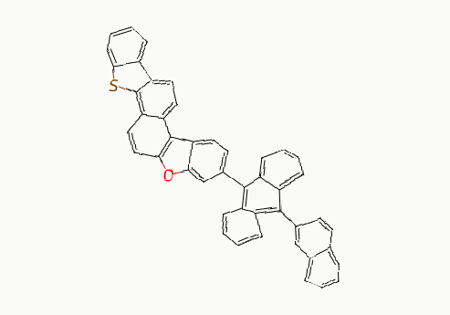 c1ccc2cc(-c3c4ccccc4c(-c4ccc5c(c4)oc4ccc6c(ccc7c8ccccc8sc76)c45)c4ccccc34)ccc2c1